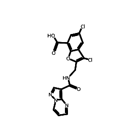 O=C(O)c1cc(Cl)cc2c(Cl)c(CNC(=O)c3cnn4cccnc34)oc12